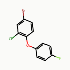 Fc1ccc(Oc2ccc(Br)cc2Cl)cc1